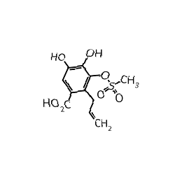 C=CCc1c(C(=O)O)cc(O)c(O)c1OS(C)(=O)=O